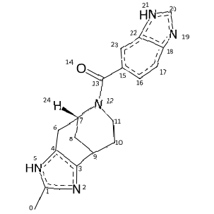 Cc1nc2c([nH]1)C[C@H]1CC2CCN1C(=O)c1ccc2nc[nH]c2c1